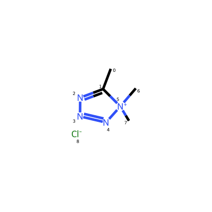 CC1=NN=N[N+]1(C)C.[Cl-]